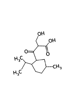 CC1CCC(C(C)C)C(C(=O)C(CO)C(=O)O)C1